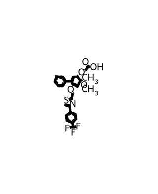 COC1(C)C=C(OCc2nc(-c3ccc(C(F)(F)F)cc3)cs2)C(c2ccccc2)=CC1OCC(=O)O